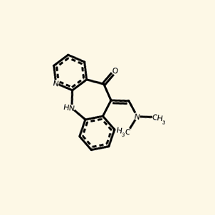 CN(C)/C=C1/C(=O)c2cccnc2Nc2ccccc21